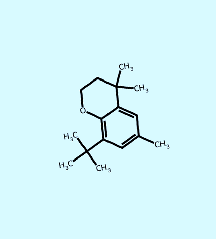 Cc1cc(C(C)(C)C)c2c(c1)C(C)(C)CCO2